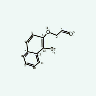 O=CCOc1ccc2ccccc2c1Br